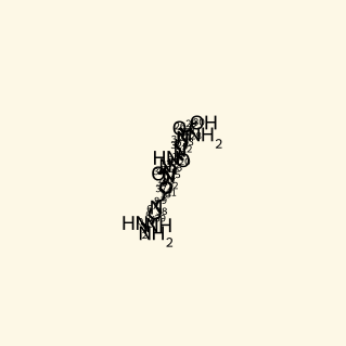 N=C(N)NC1CCN(CCc2ccc(-n3ccc(NC(=O)N4CCN(C(=O)C(N)CO)CC4)nc3=O)cc2)CC1